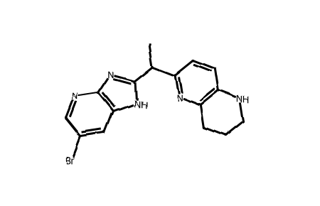 CC(c1ccc2c(n1)CCCN2)c1nc2ncc(Br)cc2[nH]1